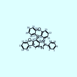 c1ccc(-c2nc3cc4c(oc5ccccc54)c4c3n2-c2cccc3c2B4c2ccccc2O3)cc1